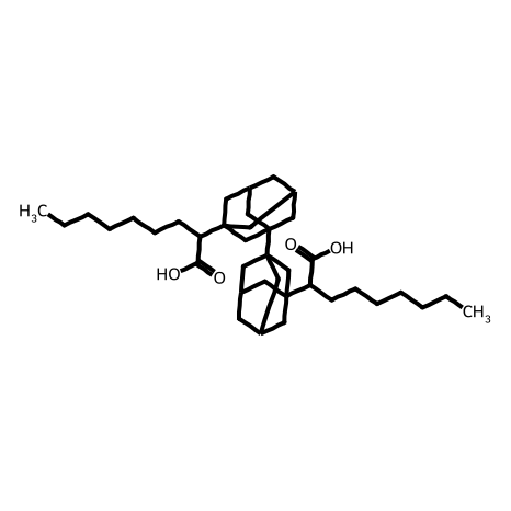 CCCCCCCC(C(=O)O)C12CC3CC(C1)CC(C14CC5CC(CC(C(CCCCCCC)C(=O)O)(C5)C1)C4)(C3)C2